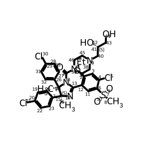 CCOc1cc(Cl)c(S(C)(=O)=O)cc1C1=N[C@@](C)(c2ccc(Cl)cc2)[C@@](C)(c2ccc(Cl)cc2)N1C(=O)N1CCN(C[C@H](O)CO)CC1